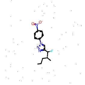 CCCC(C)C(F)c1cn(-c2ccc([N+](=O)[O-])cc2)nn1